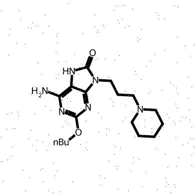 CCCCOc1nc(N)c2[nH]c(=O)n(CCCN3CCCCC3)c2n1